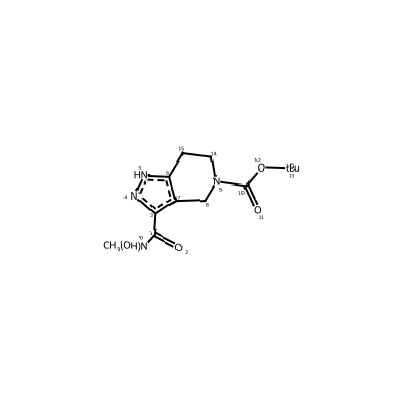 CN(O)C(=O)c1n[nH]c2c1CN(C(=O)OC(C)(C)C)CC2